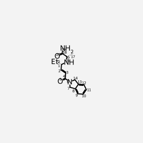 CC[C@@H](/C=C/C(=O)N1Cc2ccccc2C1)N[C@@H](C)C(N)=O